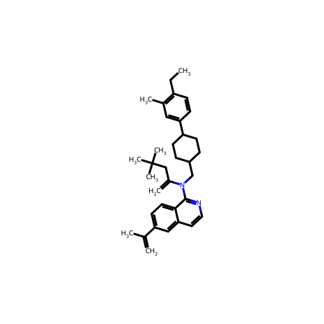 C=C(C)c1ccc2c(N(CC3CCC(c4ccc(CC)c(C)c4)CC3)C(=C)CC(C)(C)C)nccc2c1